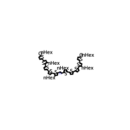 CCCCCCOc1ccc(-c2cc(CCCCCC)c(-c3ccc(-c4ccc(-c5sc(/C=C/c6cc(CCCCCC)c(-c7ccc(-c8ccc(-c9sc(-c%10ccc(OCCCCCC)s%10)cc9CCCCCC)s8)s7)s6)cc5CCCCCC)s4)s3)s2)s1